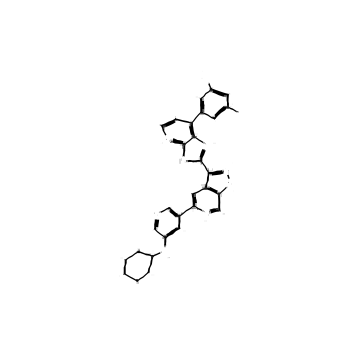 Oc1cc(F)cc(-c2ccnc3[nH]c(-c4n[nH]c5cnc(-c6cncc(OC7CCCCC7)c6)cc45)nc23)c1